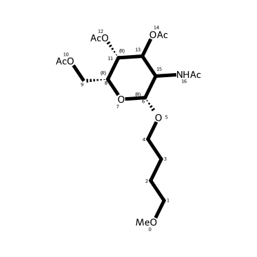 COCCCCO[C@@H]1O[C@H](COC(C)=O)[C@H](OC(C)=O)C(OC(C)=O)C1NC(C)=O